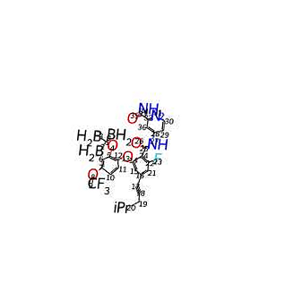 BC(B)(B)Oc1cc(OC(F)(F)F)ccc1Oc1cc(C#CCC(C)C)cc(F)c1C(=O)Nc1ccnc(C(N)=O)c1